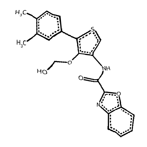 Cc1ccc(-c2scc(NC(=O)c3nc4ccccc4o3)c2OCO)cc1C